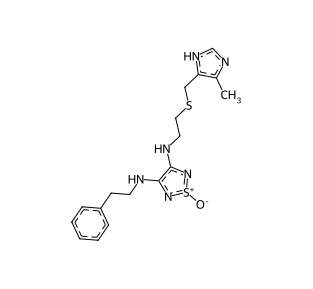 Cc1nc[nH]c1CSCCNc1n[s+]([O-])nc1NCCc1ccccc1